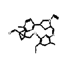 C=CN1CC(c2ccc(C)cc2)CC1/C=N\C1=CC(OCC23CC2(C=O)C3)=C(CC)CC1C